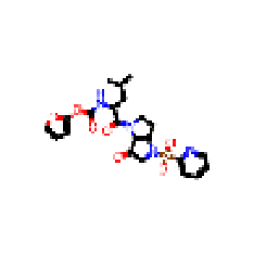 CC(C)CC(NC(=O)Oc1ccco1)C(=O)N1CCC2C1C(=O)CN2S(=O)(=O)c1ccccn1